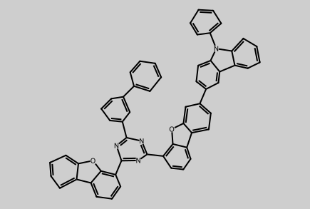 c1ccc(-c2cccc(-c3nc(-c4cccc5c4oc4ccccc45)nc(-c4cccc5c4oc4cc(-c6ccc7c(c6)c6ccccc6n7-c6ccccc6)ccc45)n3)c2)cc1